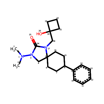 CN(C)N1CC2(CCC(c3ccccc3)CC2)N(CC2(O)CCC2)C1=O